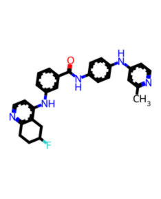 Cc1cc(Nc2ccc(NC(=O)c3cccc(Nc4ccnc5c4CC(F)CC5)c3)cc2)ccn1